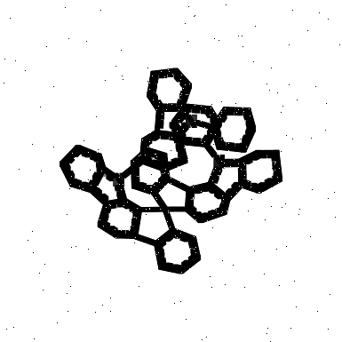 c1ccc(-n2c3ccccc3c3cc(-n4c5ccccc5c5ccc6c(c54)C4(c5ccccc5-6)c5ccccc5-c5c4ccc4c6ccccc6n(-c6ccccc6)c54)ccc32)cc1